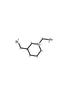 C[C](C)CN1CCCC(CBr)C1